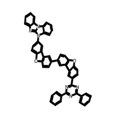 c1ccc(-c2nc(-c3ccccc3)nc(-c3ccc4oc5ccc(-c6ccc7oc8ccc(-n9c%10ccccc%10n%10c%11ccccc%11nc9%10)cc8c7c6)cc5c4c3)n2)cc1